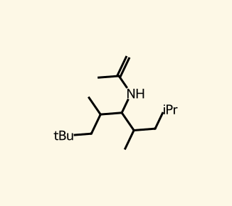 C=C(C)NC(C(C)CC(C)C)C(C)CC(C)(C)C